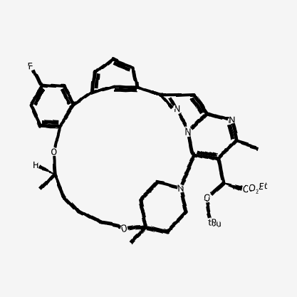 CCOC(=O)[C@@H](OC(C)(C)C)c1c(C)nc2cc3nn2c1N1CCC(C)(CC1)OCCC[C@H](C)Oc1ccc(F)cc1-c1cccc-3c1